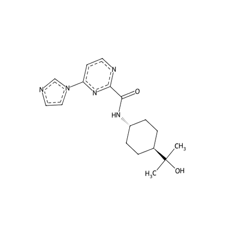 CC(C)(O)[C@H]1CC[C@H](NC(=O)c2nccc(-n3ccnc3)n2)CC1